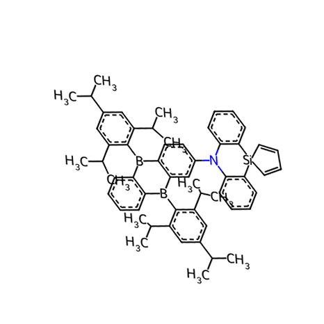 CC(C)c1cc(C(C)C)c(B2c3ccccc3B(c3c(C(C)C)cc(C(C)C)cc3C(C)C)c3cc(N4c5ccccc5[Si]5(C=CC=C5)c5ccccc54)ccc32)c(C(C)C)c1